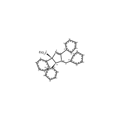 CCOC(=O)[C@@]1(c2ccccc2)N=C(c2ccccc2)N(Cc2ccccc2)[C@H]1c1ccccc1